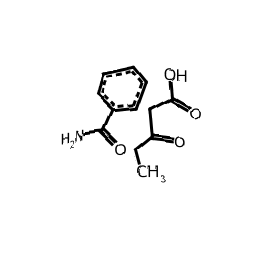 CCC(=O)CC(=O)O.NC(=O)c1ccccc1